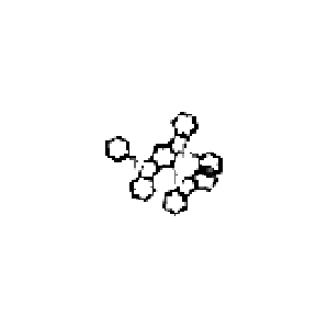 c1ccc(-n2c3ccccc3c3c(-n4c5ccccc5c5ccccc54)c4c(cc32)c2ccccc2n4-c2ccccc2)cc1